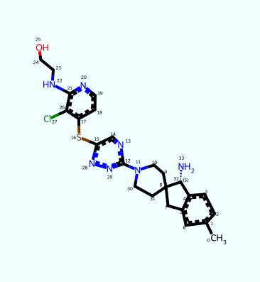 Cc1ccc2c(c1)CC1(CCN(c3ncc(Sc4ccnc(NCCO)c4Cl)nn3)CC1)[C@@H]2N